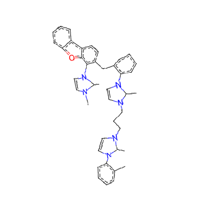 Cc1ccccc1N1C=CN(CCCN2C=CN(c3ccccc3Cc3ccc4c(oc5ccccc54)c3N3C=CN(C)C3C)C2C)C1C